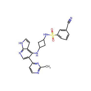 Cc1nccc(-c2cnc3[nH]ccc3c2NC2CC(NS(=O)(=O)c3cccc(C#N)c3)C2)n1